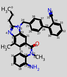 CCCc1nc2c(C)cc(C(=O)N(C)c3ccccc3N)cc2n1Cc1ccc(-c2ccccc2C#N)cc1